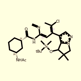 C=N/C(=C\C(=C(/C)Cl)c1cnn2c1C(O[Si](C)(C)C(C)(C)C)C(C)(C)C2)NC(=O)[C@H]1CCC[C@@H](NC(C)=O)C1